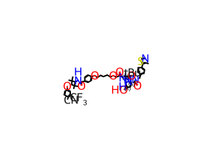 Cc1ncsc1-c1ccc(CNC(=O)[C@@H]2C[C@@H](O)CN2C(=O)[C@@H](NC(=O)COCCCCCOc2ccc(C(=O)NC3C(C)(C)C(Oc4ccc(C#N)c(C(F)(F)F)c4)C3(C)C)cc2)C(C)(C)C)cc1